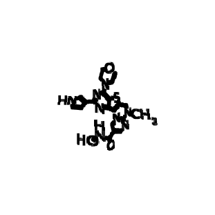 CN(Cc1cc2nc(-c3cc[nH]c3)nc(N3CCOCC3)c2s1)c1ncc(C(=O)NO)cn1